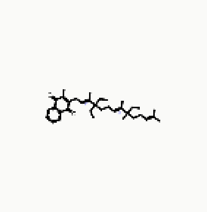 CCC(C)(CCC=C(C)C)/C(C)=C/CCC(CC)(CC)/C(C)=C/CC1=C(C)C(=O)c2ccccc2C1=O